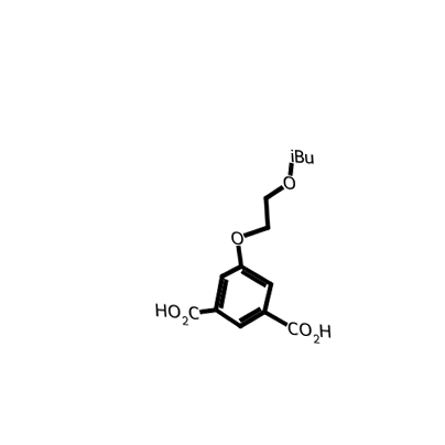 CCC(C)OCCOc1cc(C(=O)O)cc(C(=O)O)c1